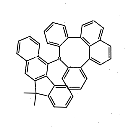 CC1(C)c2ccccc2-c2c1cc1ccccc1c2N1c2ccccc2-c2cccc3cccc(c23)-c2ccccc21